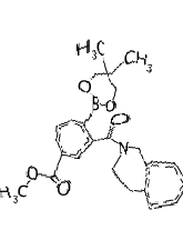 COC(=O)c1ccc(B2OCC(C)(C)CO2)c(C(=O)N2CCc3ccccc3C2)c1